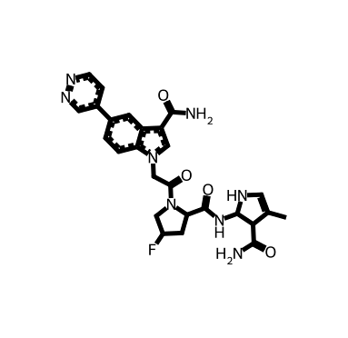 CC1=CNC(NC(=O)C2CC(F)CN2C(=O)Cn2cc(C(N)=O)c3cc(-c4ccnnc4)ccc32)C1C(N)=O